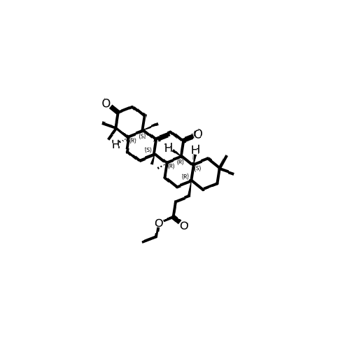 CCOC(=O)CC[C@]12CCC(C)(C)C[C@H]1[C@H]1C(=O)C=C3[C@@]4(C)CCC(=O)C(C)(C)[C@@H]4CC[C@@]3(C)[C@]1(C)CC2